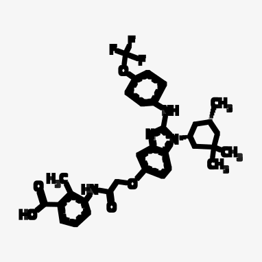 Cc1c(NC(=O)COc2ccc3c(c2)nc(Nc2ccc(OC(F)(F)F)cc2)n3[C@@H]2C[C@H](C)CC(C)(C)C2)cccc1C(=O)O